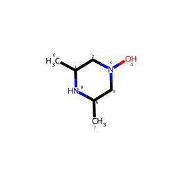 CC1CN(O)CC(C)N1